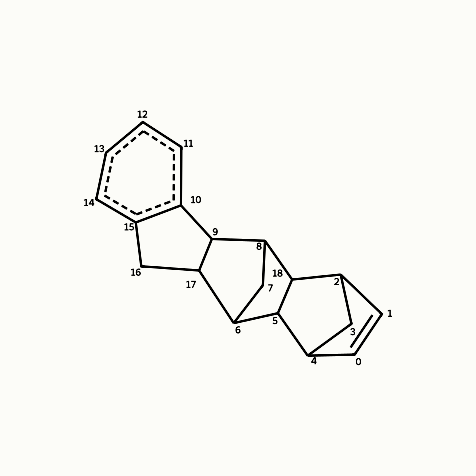 C1=CC2CC1C1C3CC(C4c5ccccc5CC34)C21